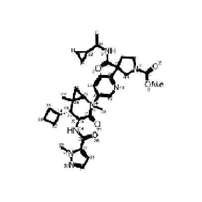 COC(=O)N1CCC(C(=O)NC(C)C2CC2)(c2ccc([N+]3(C)C(=O)[C@@H](NC(=O)c4ccnn4C)[C@H](C4CCC4)C4(C)CC43)cn2)C1